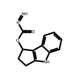 N=NC(=O)OC1CCc2[nH]c3ccccc3c21